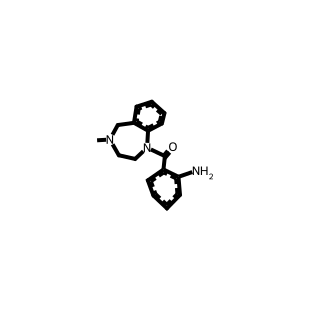 CN1CCN(C(=O)c2ccccc2N)c2ccccc2C1